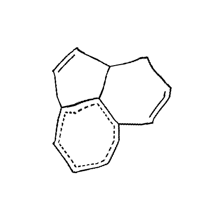 C1=Cc2cccc3c2C(C=C3)C1